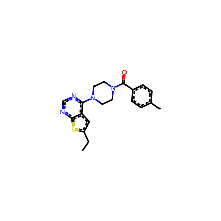 CCc1cc2c(N3CCN(C(=O)c4ccc(C)cc4)CC3)ncnc2s1